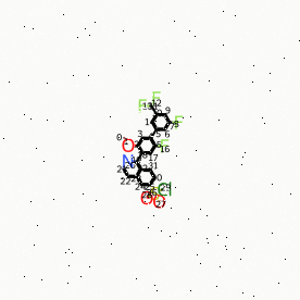 COc1cc(-c2cc(F)cc(C(F)F)c2)c(F)cc1-c1nccc2cc(S(=O)(=O)Cl)ccc12